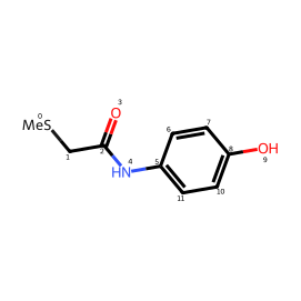 CSCC(=O)Nc1ccc(O)cc1